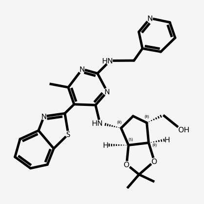 Cc1nc(NCc2cccnc2)nc(N[C@@H]2C[C@H](CO)[C@H]3OC(C)(C)O[C@H]32)c1-c1nc2ccccc2s1